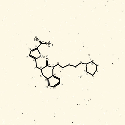 C[C@@H]1CCC[C@H](C)N1CCCCCN1C(=O)C(Cc2ccc(C(=N)N)o2)Cc2ccccc21